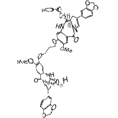 COc1cc2c(cc1OCCCOc1cc3c(cc1OC)C(=O)N1C=C(c4ccc5c(c4)OCO5)C[C@H]1[C@H](SOOO)N3)N[C@@H](S(=O)(=O)O)[C@@H]1CC(c3ccc4c(c3)OCO4)=CN1C2=O